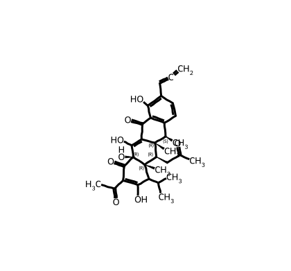 C=C=Cc1ccc2c(c1O)C(=O)C1=C(O)[C@@]3(O)C(=O)C(C(C)=O)=C(O)C(C(C)C)[C@@]3(C)[C@H](CC(C)=O)[C@@]1(C)[C@@H]2C